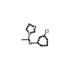 CC(=Nc1cccc(Cl)c1)n1ccnc1